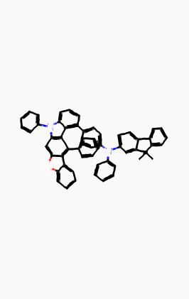 CC1(C)c2ccccc2-c2ccc(N(c3ccccc3)c3ccc(-c4cccc5c4c4c(-c6ccccc6)c6c(cc4n5-c4ccccc4)oc4ccccc46)cc3)cc21